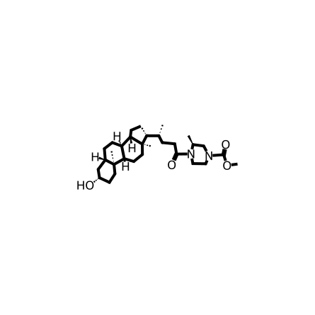 COC(=O)N1CCN(C(=O)CC[C@@H](C)[C@H]2CC[C@H]3[C@@H]4CC[C@H]5C[C@@H](O)CC[C@]5(C)[C@H]4CC[C@]23C)[C@@H](C)C1